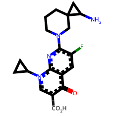 NC1CC12CCCN(c1nc3c(cc1F)c(=O)c(C(=O)O)cn3C1CC1)C2